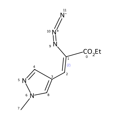 CCOC(=O)/C(=C/c1cnn(C)c1)N=[N+]=[N-]